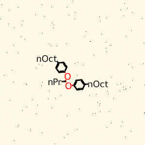 CCCCCCCCc1ccc(OC(CCC)Oc2ccc(CCCCCCCC)cc2)cc1